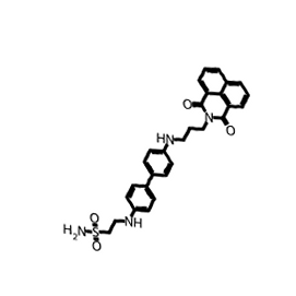 NS(=O)(=O)CCNc1ccc(-c2ccc(NCCCN3C(=O)c4cccc5cccc(c45)C3=O)cc2)cc1